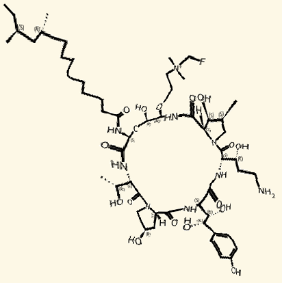 CC[C@H](C)C[C@H](C)CCCCCCCCC(=O)N[C@H]1C[C@@H](O)[C@@H](OCC[N+](C)(C)CF)NC(=O)[C@@H]2[C@@H](O)[C@@H](C)CN2C(=O)[C@H]([C@H](O)CCN)NC(=O)[C@H]([C@H](O)[C@@H](O)c2ccc(O)cc2)NC(=O)[C@@H]2C[C@@H](O)CN2C(=O)[C@H]([C@@H](C)O)NC1=O